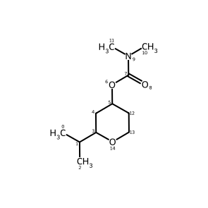 CC(C)C1CC(OC(=O)N(C)C)CCO1